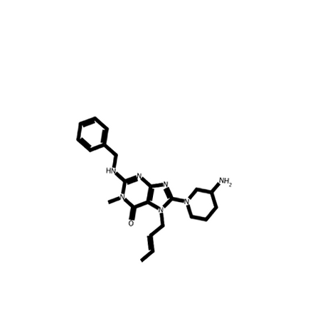 CC=CCn1c(N2CCCC(N)C2)nc2nc(NCc3ccccc3)n(C)c(=O)c21